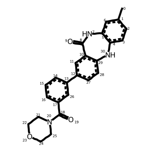 Cc1ccc2c(c1)NC(=O)c1cc(-c3cccc(C(=O)N4CCOCC4)c3)ccc1N2